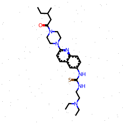 CCC(C)CC(=O)N1CCN(c2ccc3cc(NC(=S)NCCN(CC)CC)ccc3n2)CC1